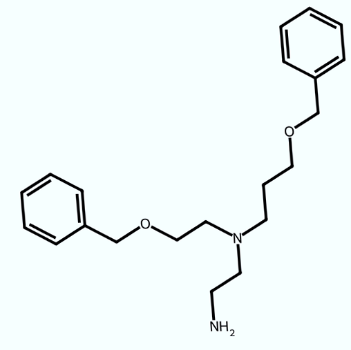 NCCN(CCCOCc1ccccc1)CCOCc1ccccc1